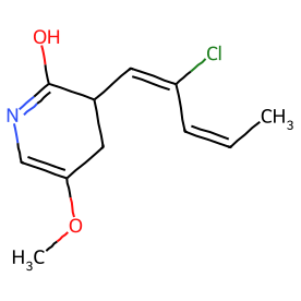 C/C=C\C(Cl)=C/C1CC(OC)=CN=C1O